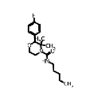 CCCCCNC(=O)N1CCOC(c2ccc(F)cc2)C1(C)C